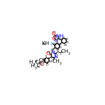 CCCc1nc(C)c(-c2ccc(OC(C)(C)C)cc2)c(=O)n1Cc1ccc(-c2ccccc2-c2noc(=O)[nH]2)cc1F.[KH]